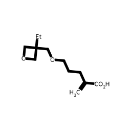 C=C(CCCOCC1(CC)COC1)C(=O)O